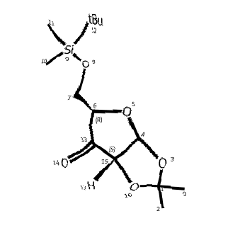 CC1(C)OC2O[C@H](CO[Si](C)(C)C(C)(C)C)C(=O)[C@H]2O1